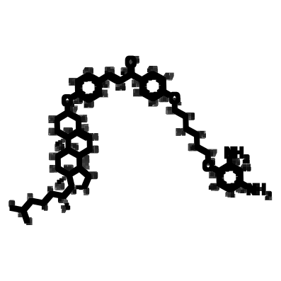 CC(C)CCC[C@@H](C)[C@H]1CCC2C3CC=C4CC(Oc5ccc(C=CC(=O)c6ccc(OCCCCCCOc7ccc(N)cc7N)cc6)cc5)CC[C@]4(C)C3CC[C@@]21C